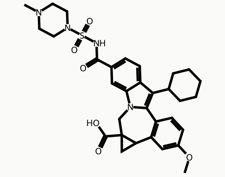 COc1ccc2c(c1)C1CC1(C(=O)O)Cn1c-2c(C2CCCCC2)c2ccc(C(=O)NS(=O)(=O)N3CCN(C)CC3)cc21